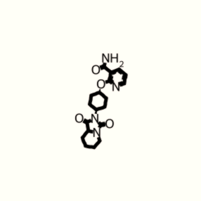 NC(=O)c1cccnc1O[C@H]1CC[C@H](N2C(=O)C3CCCCN3C2=O)CC1